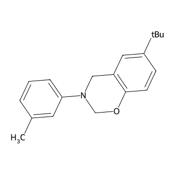 Cc1cccc(N2COc3ccc(C(C)(C)C)cc3C2)c1